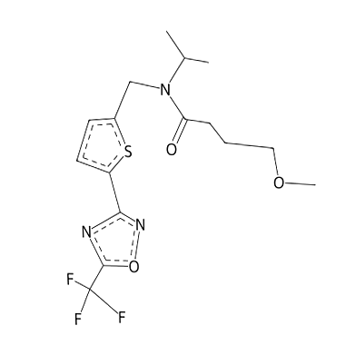 COCCCC(=O)N(Cc1ccc(-c2noc(C(F)(F)F)n2)s1)C(C)C